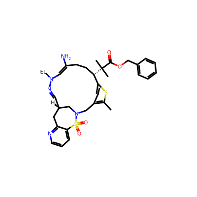 CCN1/C=C(\N)CC[C@H](C(C)(C)C(=O)OCc2ccccc2)c2cc(c(C)s2)CN2C[C@@H](/C=N/1)Cc1ncccc1S2(=O)=O